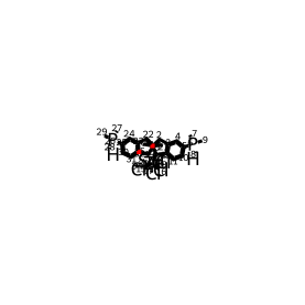 CC1=Cc2cc([PH](C)(C)C)ccc2[CH]1[Zr]([Cl])([Cl])([Cl])([Cl])([CH]1C(C)=Cc2cc([PH](C)(C)C)ccc21)[SiH](C)C